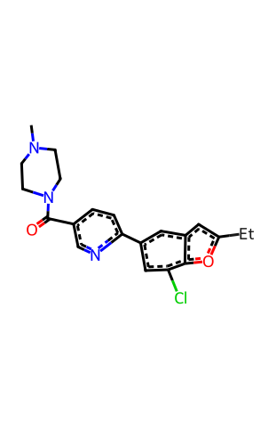 CCc1cc2cc(-c3ccc(C(=O)N4CCN(C)CC4)cn3)cc(Cl)c2o1